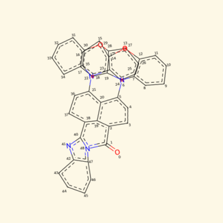 O=c1c2ccc(N3c4ccccc4Oc4ccccc43)c3c(N4c5ccccc5Oc5ccccc54)ccc(c32)c2nc3ccccc3n12